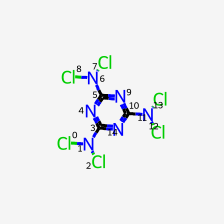 ClN(Cl)c1nc(N(Cl)Cl)nc(N(Cl)Cl)n1